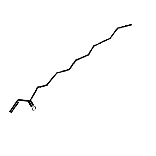 C=CC(=O)CCCCCCCCCC